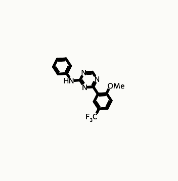 COc1ccc(C(F)(F)F)cc1-c1ncnc(Nc2ccccc2)n1